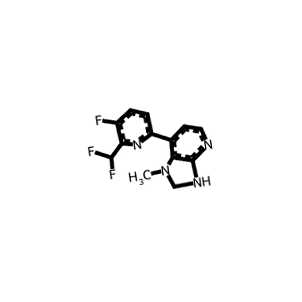 CN1CNc2nccc(-c3ccc(F)c(C(F)F)n3)c21